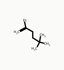 C=C(CC)CCC(C)(C)C